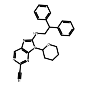 N#Cc1ncc2nc(NCC(c3ccccc3)c3ccccc3)n(C3CCCCO3)c2n1